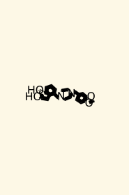 OS1(O)C=Cc2c(CN3CCN(Cc4ccc5c(c4)OCO5)CC3)cccc21